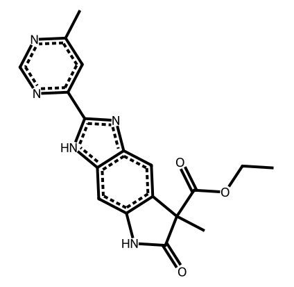 CCOC(=O)C1(C)C(=O)Nc2cc3[nH]c(-c4cc(C)ncn4)nc3cc21